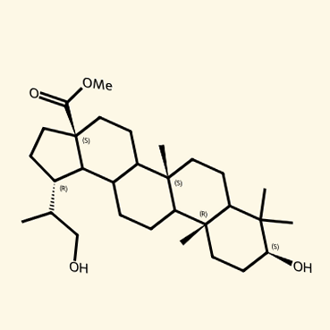 COC(=O)[C@@]12CCC3C(CCC4[C@@]3(C)CCC3C(C)(C)[C@@H](O)CC[C@@]34C)C1[C@H](C(C)CO)CC2